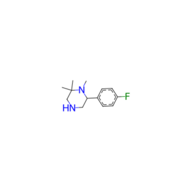 CN1C(c2ccc(F)cc2)CNCC1(C)C